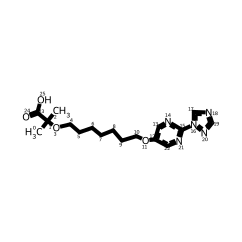 CC(C)(OCCCCCCCOc1cnc(-n2cncn2)nc1)C(=O)O